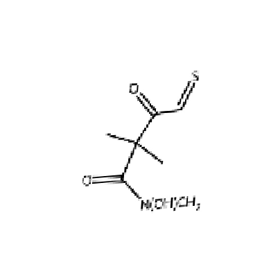 CN(O)C(=O)C(C)(C)C(=O)C=S